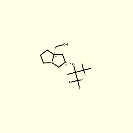 CC(O[C@@H]1CN2CCC[C@@]2(CO)C1)(C(F)(F)F)C(F)(F)F